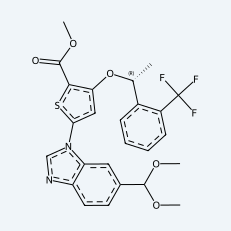 COC(=O)c1sc(-n2cnc3ccc(C(OC)OC)cc32)cc1O[C@H](C)c1ccccc1C(F)(F)F